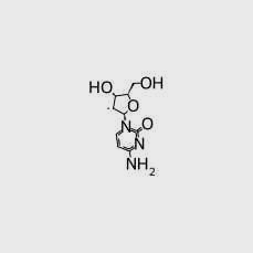 Nc1ccn([C@H]2[CH][C@@H](O)[C@@H](CO)O2)c(=O)n1